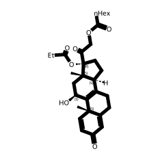 CCCCCCC(=O)OCC(=O)[C@@]1(OC(=O)CC)CC[C@H]2C3=C([C@@H](O)C[C@@]21C)[C@@]1(C)C=CC(=O)C=C1CC3